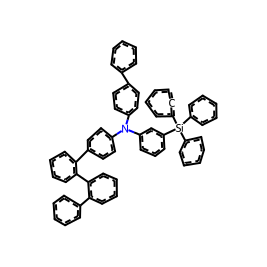 c1ccc(-c2ccc(N(c3ccc(-c4ccccc4-c4ccccc4-c4ccccc4)cc3)c3cccc([Si](c4ccccc4)(c4ccccc4)c4ccccc4)c3)cc2)cc1